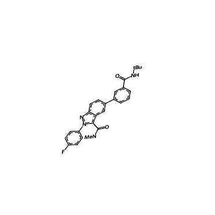 CNC(=O)c1c2cc(-c3cccc(C(=O)NC(C)(C)C)c3)ccc2nn1-c1ccc(F)cc1